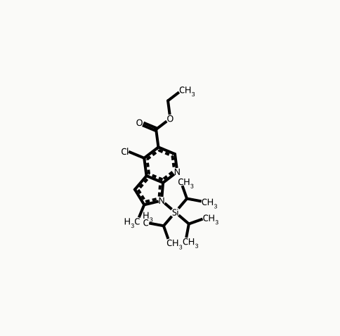 CCOC(=O)c1cnc2c(cc(C)n2[Si](C(C)C)(C(C)C)C(C)C)c1Cl